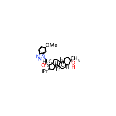 COc1ccc2nnn(CC(=O)[C@H]3[C@H](C(C)C)C[C@H]4[C@@H]5CC[C@H]6C[C@](C)(O)CC[C@]6(C)[C@H]5CC[C@@]43C)c2c1